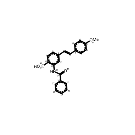 COc1ccc(C=Cc2ccc(C(=O)O)c(NC(=O)c3ccccc3)c2)cc1